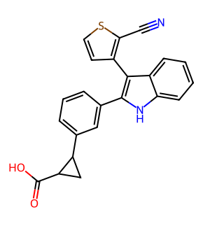 N#Cc1sccc1-c1c(-c2cccc(C3CC3C(=O)O)c2)[nH]c2ccccc12